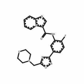 O=C(Nc1cc(-c2noc(CN3CCOCC3)n2)ccc1F)c1cnc2ccccn12